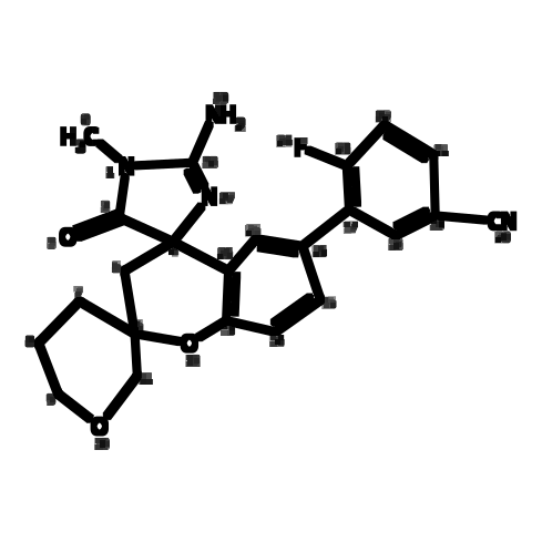 CN1C(=O)C2(CC3(CCCOC3)Oc3ccc(-c4cc(C#N)ccc4F)cc32)N=C1N